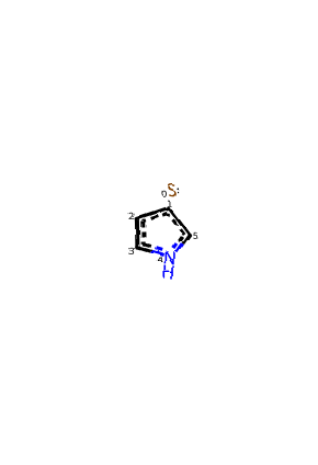 [S].c1cc[nH]c1